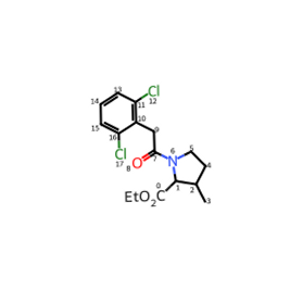 CCOC(=O)C1C(C)CCN1C(=O)Cc1c(Cl)cccc1Cl